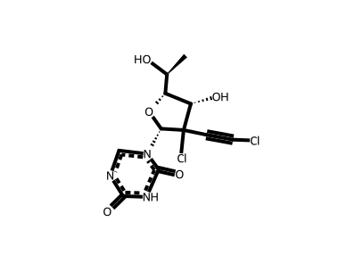 C[C@H](O)[C@H]1O[C@@H](n2cnc(=O)[nH]c2=O)C(Cl)(C#CCl)[C@H]1O